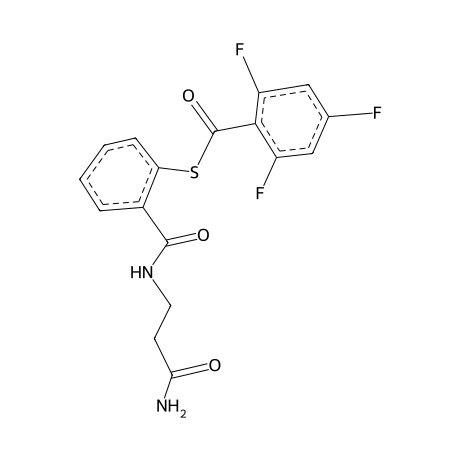 NC(=O)CCNC(=O)c1ccccc1SC(=O)c1c(F)cc(F)cc1F